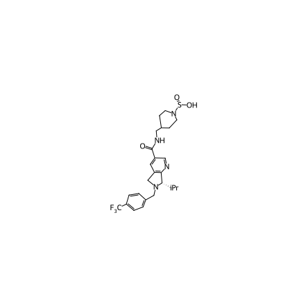 CC(C)[C@H]1c2ncc(C(=O)NCC3CCN(S(=O)O)CC3)cc2CN1Cc1ccc(C(F)(F)F)cc1